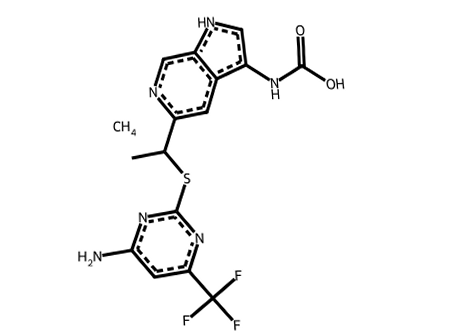 C.CC(Sc1nc(N)cc(C(F)(F)F)n1)c1cc2c(NC(=O)O)c[nH]c2cn1